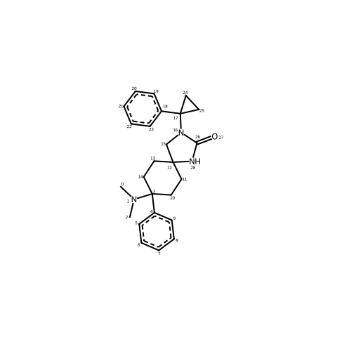 CN(C)C1(c2ccccc2)CCC2(CC1)CN(C1(c3ccccc3)CC1)C(=O)N2